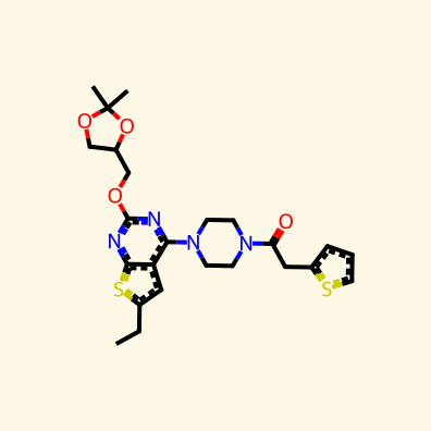 CCc1cc2c(N3CCN(C(=O)Cc4cccs4)CC3)nc(OCC3COC(C)(C)O3)nc2s1